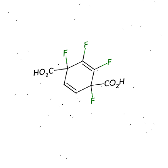 O=C(O)C1(F)C=CC(F)(C(=O)O)C(F)=C1F